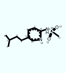 CC(C)CCc1ccc(NS(C)(=O)=O)nc1